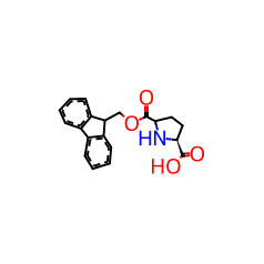 O=C(OCC1c2ccccc2-c2ccccc21)C1CC[C@@H](C(=O)O)N1